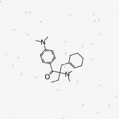 CCC(CC1=CCCCC1)(C(=O)c1ccc(N(C)C)cc1)N(C)C